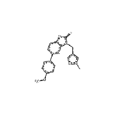 Cn1cc(Cn2c(=O)oc3ccc(-c4ccc(OC(F)(F)F)cc4)nc32)cn1